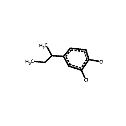 CCC(C)c1ccc(Cl)c(Cl)c1